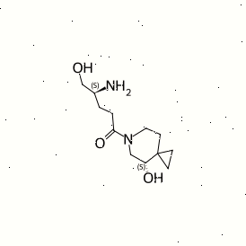 N[C@H](CO)CCC(=O)N1CCC2(CC2)[C@H](O)C1